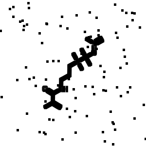 C#[SH](C)OC(C)(C)S(C)(C)CCCNC(=O)C(=C)C